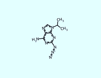 CC(C)n1cnc2c(N)nc(N=[N+]=[N-])nc21